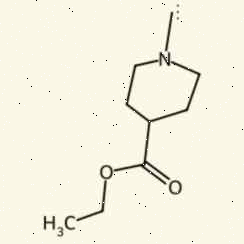 [C]N1CCC(C(=O)OCC)CC1